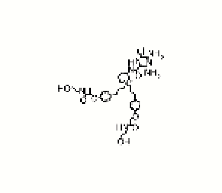 Nc1nc(N)c(C(=O)N[C@H]2CCC[N+](CCCc3ccc(OCC(=O)NCCO)cc3)(CCCc3ccc(OCC(=O)NCCO)cc3)C2)nc1Cl